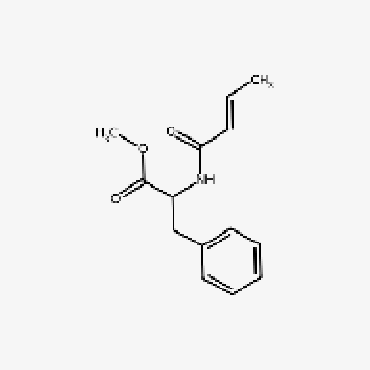 C/C=C/C(=O)NC(Cc1ccccc1)C(=O)OC